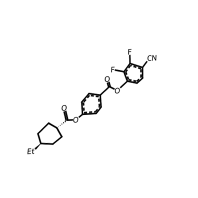 CC[C@H]1CC[C@H](C(=O)Oc2ccc(C(=O)Oc3ccc(C#N)c(F)c3F)cc2)CC1